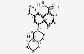 CCc1cc(N2CCN3CCOC[C@H]3C2)c2nccc(C(C)C)c2c1